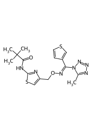 Cc1nnnn1C(=NOCc1csc(NC(=O)C(C)(C)C)n1)c1ccsc1